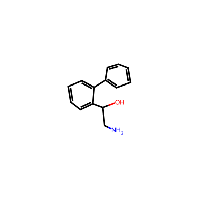 NCC(O)c1ccccc1-c1ccccc1